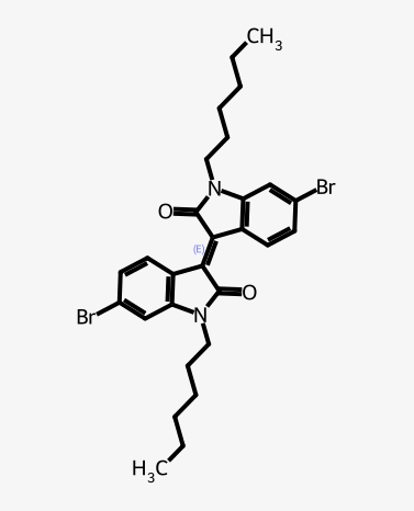 CCCCCCN1C(=O)/C(=C2/C(=O)N(CCCCCC)c3cc(Br)ccc32)c2ccc(Br)cc21